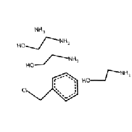 ClCc1ccccc1.N.NCCO.NCCO.NCCO